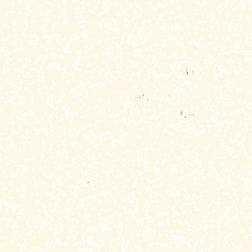 CC(=N)NC=Cc1ccccc1Cl